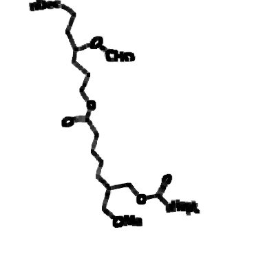 CCCCCCCCCCCCC(CCCOC(=O)CCCCC(COC)COC(=O)CCCCCCC)OC=O